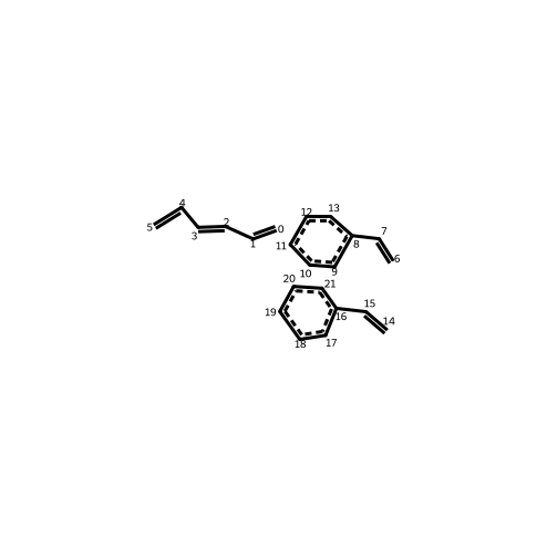 C=CC=CC=C.C=Cc1ccccc1.C=Cc1ccccc1